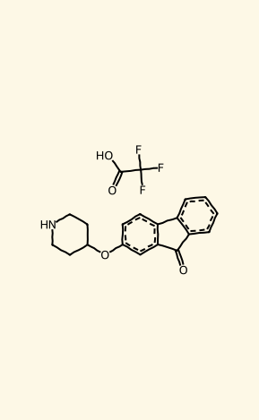 O=C(O)C(F)(F)F.O=C1c2ccccc2-c2ccc(OC3CCNCC3)cc21